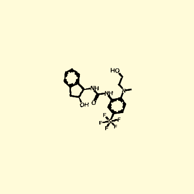 CN(CCO)c1ccc(S(F)(F)(F)(F)F)cc1NC(=O)N[C@@H]1c2ccccc2C[C@@H]1O